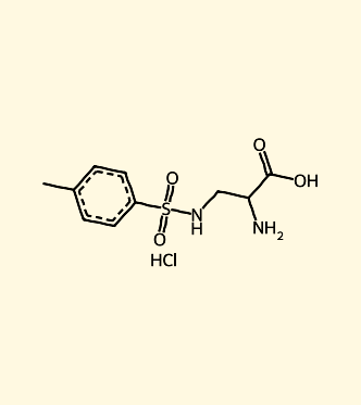 Cc1ccc(S(=O)(=O)NCC(N)C(=O)O)cc1.Cl